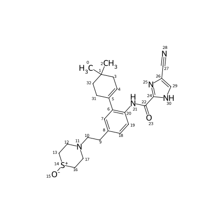 CC1(C)CC=C(c2cc(CCN3CC[S+]([O-])CC3)ccc2NC(=O)c2nc(C#N)c[nH]2)CC1